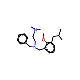 COc1c(CC(C)C)cccc1CN(CCN(C)C)Cc1ccccc1